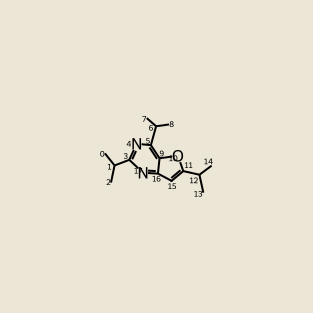 CC(C)c1nc(C(C)C)c2oc(C(C)C)cc2n1